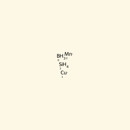 B.[Cu].[Mn].[SiH4]